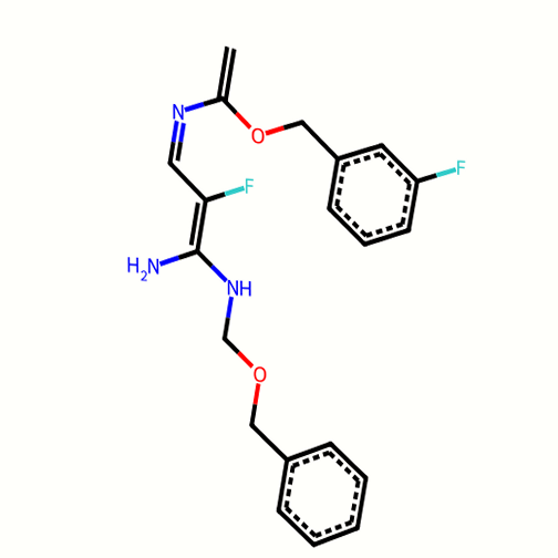 C=C(/N=C\C(F)=C(/N)NCOCc1ccccc1)OCc1cccc(F)c1